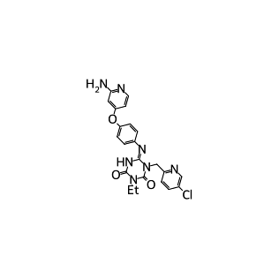 CCn1c(=O)[nH]/c(=N\c2ccc(Oc3ccnc(N)c3)cc2)n(Cc2ccc(Cl)cn2)c1=O